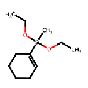 CCO[Si](C)(OCC)C1=CCCCC1